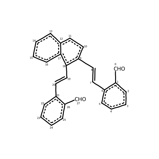 O=Cc1ccccc1C=Cc1ccc2ccccc2c1C=Cc1ccccc1C=O